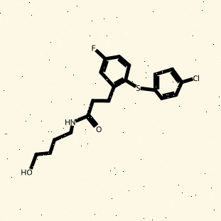 O=C(CCc1cc(F)ccc1Sc1ccc(Cl)cc1)NCCCCO